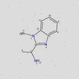 CCCn1c(C(C)N)nc2ccccc21